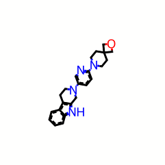 c1ccc2c3c([nH]c2c1)CN(c1ccc(N2CCC4(CC2)COC4)nc1)CC3